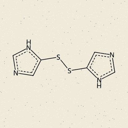 c1ncc(SSc2cnc[nH]2)[nH]1